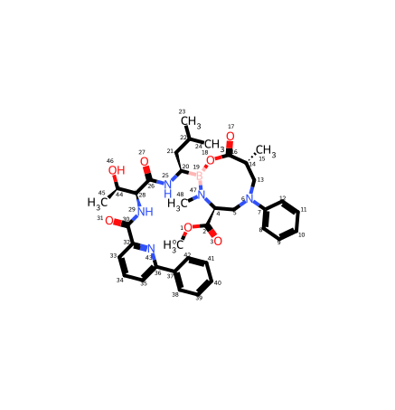 COC(=O)[C@@H]1CN(c2ccccc2)C[C@@H](C)C(=O)OB([C@H](CC(C)C)NC(=O)[C@@H](NC(=O)c2cccc(-c3ccccc3)n2)[C@@H](C)O)N1C